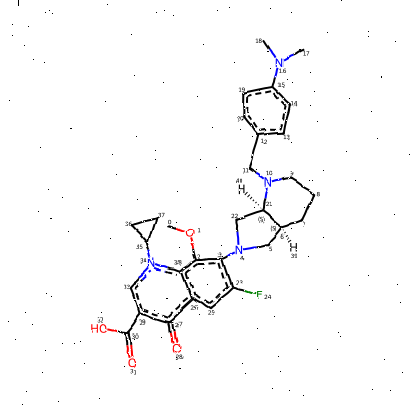 COc1c(N2C[C@@H]3CCCN(Cc4ccc(N(C)C)cc4)[C@@H]3C2)c(F)cc2c(=O)c(C(=O)O)cn(C3CC3)c12